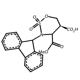 COC(=O)C1[C@H](C(=O)O)COS(=O)(=O)N1C1c2ccccc2-c2ccccc21